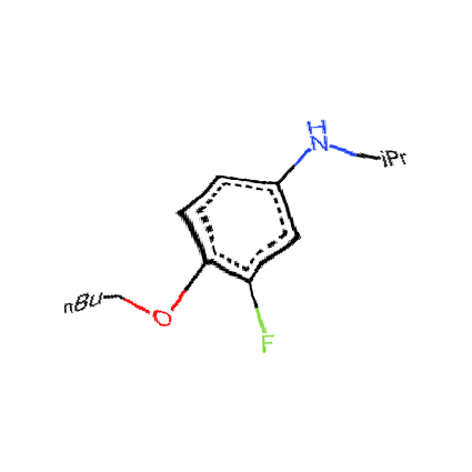 CCCCOc1ccc(NC(C)C)cc1F